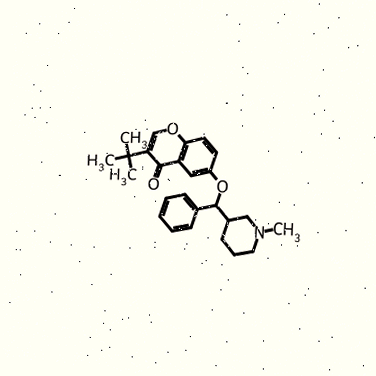 CN1CCCC(C(Oc2ccc3occ(C(C)(C)C)c(=O)c3c2)c2ccccc2)C1